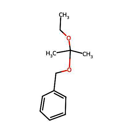 CCOC(C)(C)OCc1ccccc1